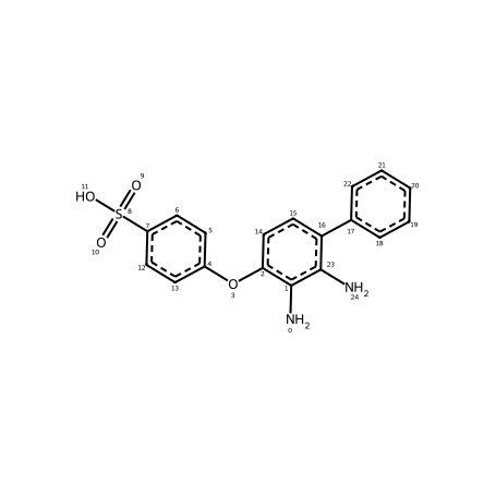 Nc1c(Oc2ccc(S(=O)(=O)O)cc2)ccc(-c2ccccc2)c1N